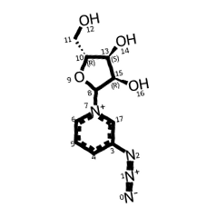 [N-]=[N+]=Nc1ccc[n+](C2O[C@H](CO)[C@@H](O)[C@H]2O)c1